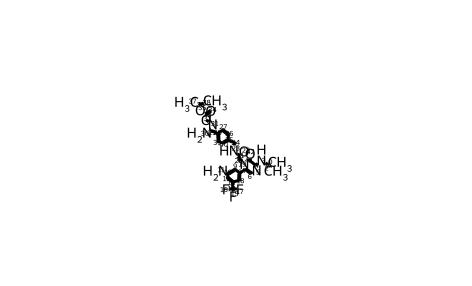 CC(C)Nc1ncc(-c2cc(N)cc(C(F)(F)F)c2)n(CC(=O)NCc2ccc(/C(N)=N/OC(=O)OC(C)C)cc2)c1=O